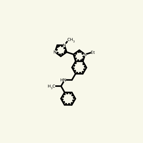 CCn1cc(-c2cncn2C)c2cc(CNC(C)c3ccccc3)ccc21